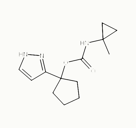 CC1(NC(=O)OC2(c3cc[nH]n3)CCCC2)CC1